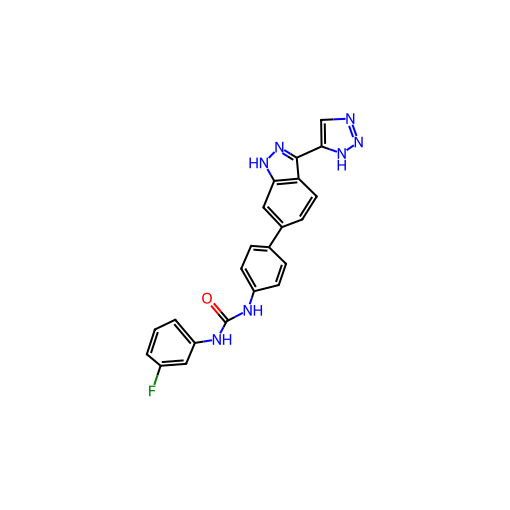 O=C(Nc1ccc(-c2ccc3c(-c4cnn[nH]4)n[nH]c3c2)cc1)Nc1cccc(F)c1